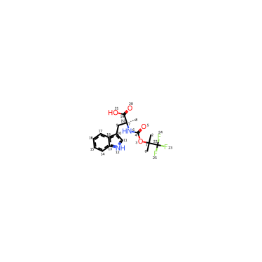 CC(C)(OC(=O)N[C@@](C)(Cc1c[nH]c2ccccc12)C(=O)O)C(F)(F)F